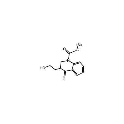 CC(C)(C)OC(=O)N1CC(CCO)C(=O)c2ccccc21